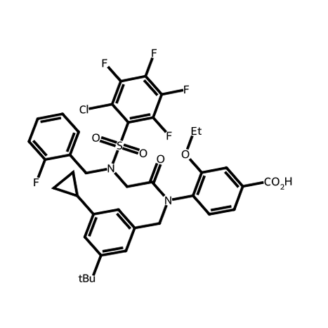 CCOc1cc(C(=O)O)ccc1N(Cc1cc(C2CC2)cc(C(C)(C)C)c1)C(=O)CN(Cc1ccccc1F)S(=O)(=O)c1c(F)c(F)c(F)c(F)c1Cl